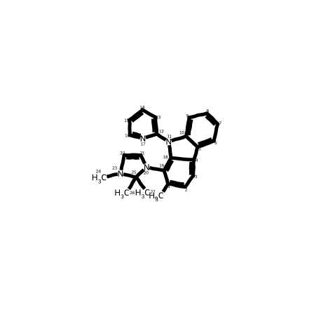 Cc1ccc2c3ccccc3n(-c3ccccn3)c2c1N1C=CN(C)C1(C)C